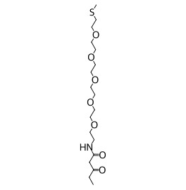 CCC(=O)CC(=O)NCCOCCOCCOCCOCCOCCSC